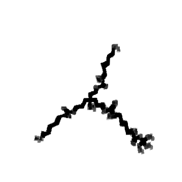 CCCCCCNC(=O)OCCCC(N)(CCCOC(=O)NCCCCNC(=O)OC(C)(C)C)CCOC(=O)NCCCCCC